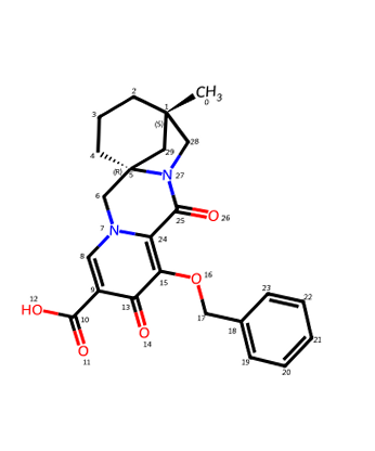 C[C@@]12CCC[C@]3(Cn4cc(C(=O)O)c(=O)c(OCc5ccccc5)c4C(=O)N3C1)C2